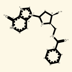 O=C(OC[C@H]1OC(n2cnc3c(=O)[nH]ccc32)C[C@H]1F)c1ccccc1